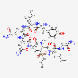 CCCC[C@H](NC(=O)CN(C)C(=O)[C@H](CCS(=O)(=O)CCC)NC(=O)[C@H](CC(N)=O)NC(=O)[C@H](CCC(N)=O)NC(=O)[C@@H](NC(=O)[C@H](N)Cc1ccc(O)cc1)[C@@H](C)CC)C(=O)NCC(N)=O